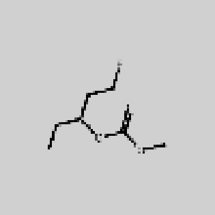 CCC(CCF)OC(=O)OC